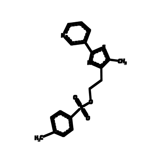 Cc1ccc(S(=O)(=O)OCCc2nc(-c3cccnc3)sc2C)cc1